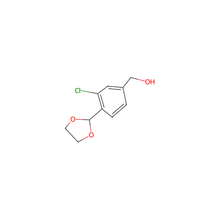 OCc1ccc(C2OCCO2)c(Cl)c1